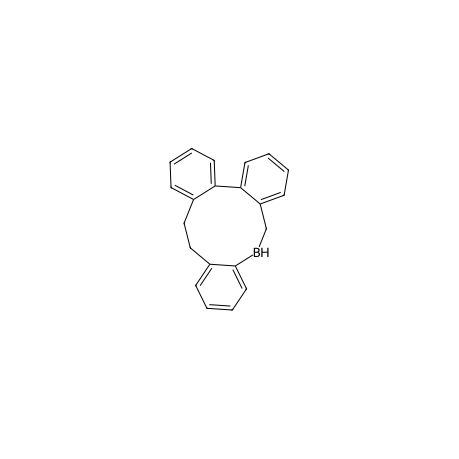 B1Cc2ccccc2-c2ccccc2CCc2ccccc21